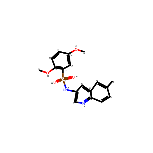 [CH2]c1ccc2ncc(NS(=O)(=O)c3cc(OC)ccc3OC)cc2c1